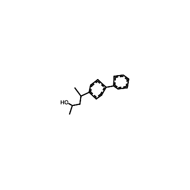 CC(O)CC(C)c1ccc(-c2ccccc2)cc1